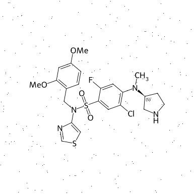 COc1ccc(CN(c2cscn2)S(=O)(=O)c2cc(Cl)c(N(C)[C@H]3CCNC3)cc2F)c(OC)c1